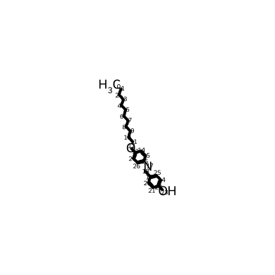 CCCCCCCCCCCCOc1ccc(N=Cc2ccc(O)cc2)cc1